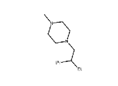 CCC(CN1CCN(C)CC1)C(C)C